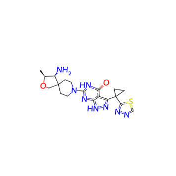 C[C@@H]1OCC2(CCN(c3nc4[nH]nc(C5(c6nncs6)CC5)c4c(=O)[nH]3)CC2)[C@@H]1N